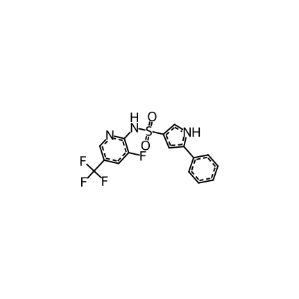 O=S(=O)(Nc1ncc(C(F)(F)F)cc1F)c1c[nH]c(-c2ccccc2)c1